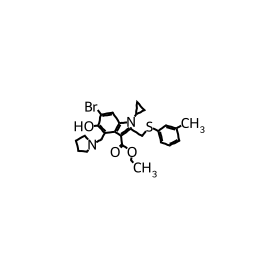 CCOC(=O)c1c(CSc2cccc(C)c2)n(C2CC2)c2cc(Br)c(O)c(CN3CCCC3)c12